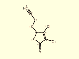 C#CCOC1OC(=O)C(Cl)=C1Cl